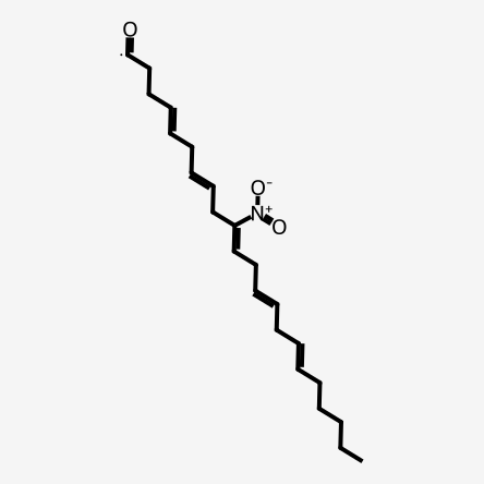 CCCCC/C=C/C/C=C/C/C=C(/C/C=C/C/C=C/CC[C]=O)[N+](=O)[O-]